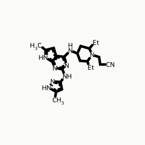 CCC1CC(Nc2nc(Nc3cc(C)[nH]n3)nc3[nH]c(C)cc23)CC(CC)N1CCC#N